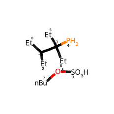 CCC(CC)C(P)(CC)CC.CCCCOS(=O)(=O)O